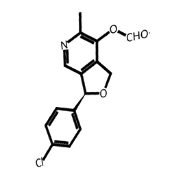 Cc1ncc2c(c1O[C]=O)CO[C@H]2c1ccc(Cl)cc1